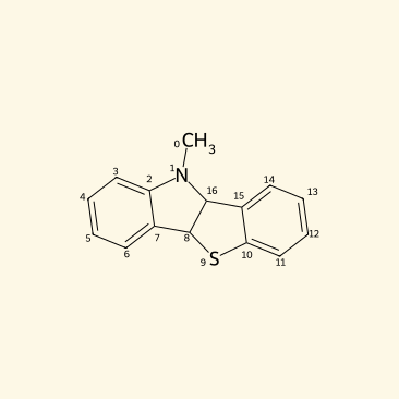 CN1c2ccccc2C2Sc3ccccc3C21